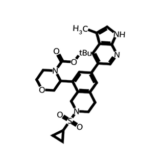 Cc1c[nH]c2ncc(-c3cc4c(c(C5COCCN5C(=O)OC(C)(C)C)c3)CN(S(=O)(=O)C3CC3)CC4)cc12